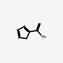 C=C(CCCC)C1=CC=CC1